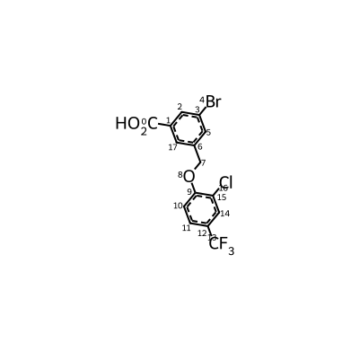 O=C(O)c1cc(Br)cc(COc2ccc(C(F)(F)F)cc2Cl)c1